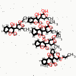 CCCC(CC(=O)O)c1c(O)c2ccccc2oc1=O.CCCC(CC(=O)OC)c1c(O)c2ccccc2oc1=O.CCCC(CC(=O)OCC)c1c(O)c2ccccc2oc1=O.CCCOC(=O)CC(CCC)c1c(O)c2ccccc2oc1=O.CCCOC(=O)CC(c1c(O)c2ccccc2oc1=O)C1CCCC1